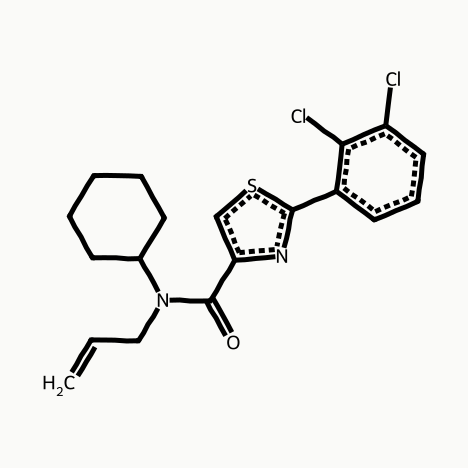 C=CCN(C(=O)c1csc(-c2cccc(Cl)c2Cl)n1)C1CCCCC1